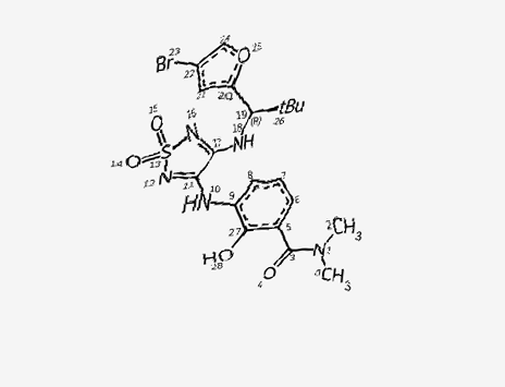 CN(C)C(=O)c1cccc(NC2=NS(=O)(=O)N=C2N[C@@H](c2cc(Br)co2)C(C)(C)C)c1O